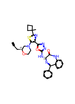 C#CC[C@H]1CN(c2sc(C3(C)CCC3)nc2-c2nnc(N[C@H]3N=C(c4ccccc4)c4ccccc4NC3=O)o2)CCO1